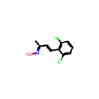 CC(C=Cc1c(Cl)cccc1Cl)=NO